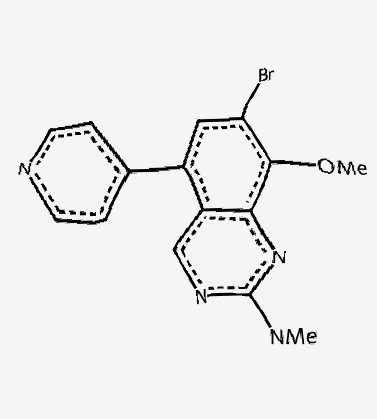 CNc1ncc2c(-c3ccncc3)cc(Br)c(OC)c2n1